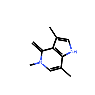 C=C1c2c(C)c[nH]c2C(C)=CN1C